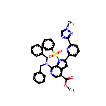 COC(=O)c1cnc(N(Cc2ccccc2)Cc2ccccc2)c2c1cc(-c1cccc(-c3ncn(C)n3)n1)n2S(=O)(=O)c1ccccc1